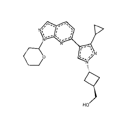 OC[C@H]1C[C@H](n2cc(-c3ccc4cnn(C5CCCCO5)c4n3)c(C3CC3)n2)C1